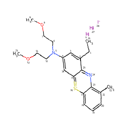 CCc1cc(N(CCOC)CCOC)cc2[s+]c3cccc(C)c3nc12.I.I.[I-]